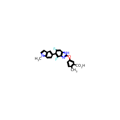 Cc1ccc(Oc2nc3c(F)c(-c4ccc5c(ccn5C)c4)c(F)cc3[nH]2)cc1C(=O)O